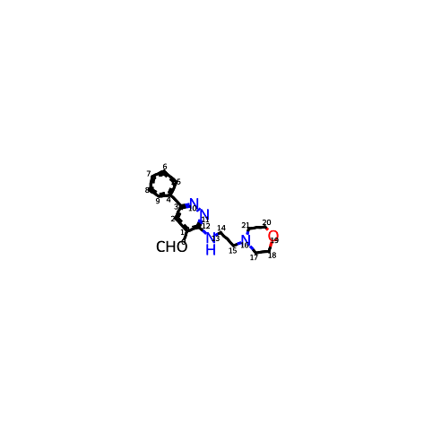 O=Cc1cc(-c2ccccc2)nnc1NCCN1CCOCC1